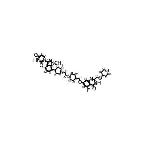 Cn1nc(-n2ccc(=O)[nH]c2=O)c2cccc(C3CCN(CCN4CCC(COc5cc(F)c6c(=O)[nH]c(COC7CCOCC7)nc6c5)CC4)CC3)c21